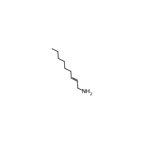 CCCCCCC=CCN